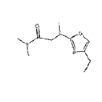 CCc1coc(N(C)CC(=O)N(C)C)n1